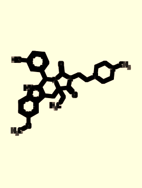 CCC12Cc3c([nH]c4ccc(OC)cc34)C(c3cccc(O)c3)N1C(=O)N(CCN1CCN(C)CC1)C2=O